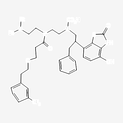 CCN(CC)CCN(CCN(CC(Cc1ccccc1)c1ccc(O)c2[nH]c(=O)sc12)C(=O)O)C(=O)CCOCCc1cccc(C(F)(F)F)c1